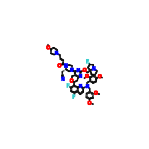 COc1ccc(CN(Cc2ccc(OC)cc2OC)c2ccc3c(F)cc(F)c(C4Cc5nc(OCC67CCCN6C[C@H](F)C7)nc(N6CCN(C(=O)/C=C/CN7CCC(OC)CC7)[C@@H](CC#N)C6)c5CO4)c3n2)c(OC)c1